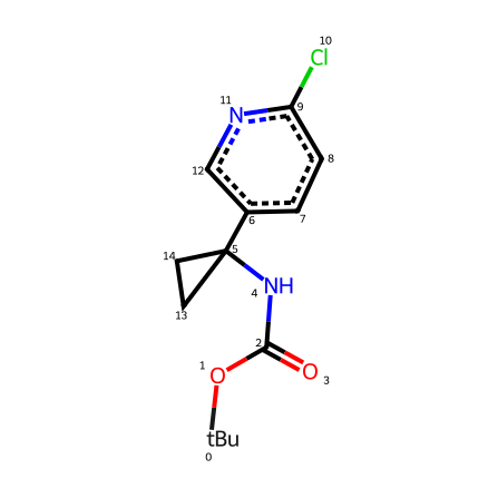 CC(C)(C)OC(=O)NC1(c2ccc(Cl)nc2)CC1